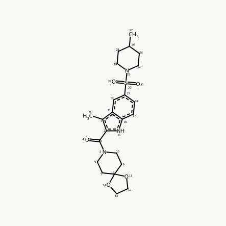 Cc1c(C(=O)N2CCC3(CC2)OCCO3)[nH]c2ccc(S(=O)(=O)N3CCC(C)CC3)cc12